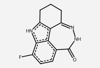 O=C1NN=C2CCCc3[nH]c4c(F)ccc1c4c32